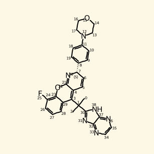 CC(C)(C1=C2C=C[C@@H](c3ccc(N4CCOCC4)cc3)N=C2Oc2c(F)cccc21)c1nc2nccnc2[nH]1